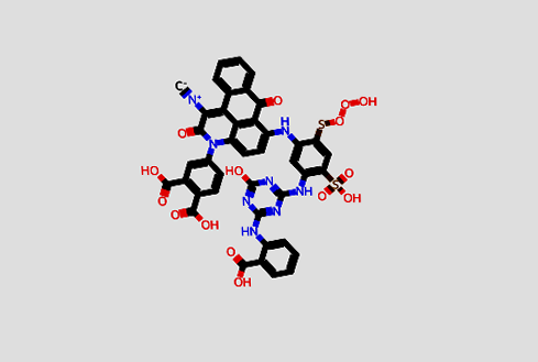 [C-]#[N+]c1c2c3c(c(Nc4cc(Nc5nc(O)nc(Nc6ccccc6C(=O)O)n5)c(S(=O)(=O)O)cc4SOOO)ccc3n(-c3ccc(C(=O)O)c(C(=O)O)c3)c1=O)C(=O)c1ccccc1-2